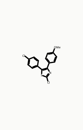 COc1ccc(-c2nc(Cl)sc2-c2ccc(Cl)cc2)cc1